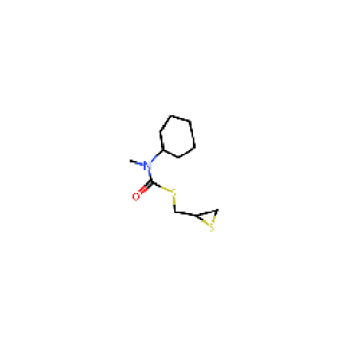 CN(C(=O)SCC1CS1)C1CCCCC1